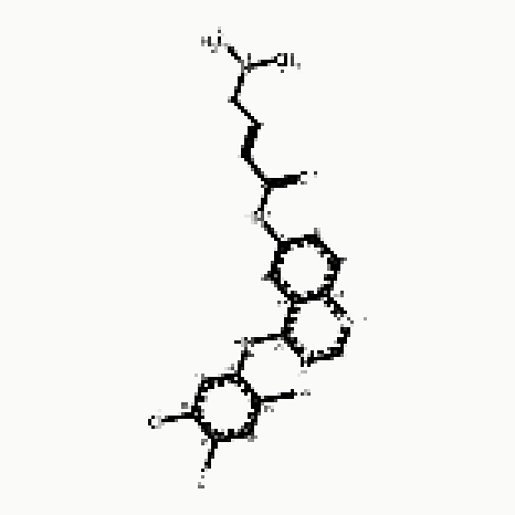 CN(C)CC=CC(=O)Nc1ccc2ncnc(Nc3cc(Cl)c(Cl)cc3F)c2c1